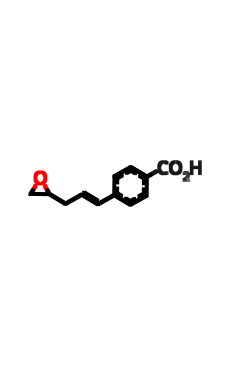 O=C(O)c1ccc(C=CCC2CO2)cc1